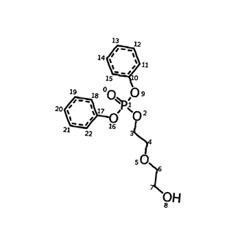 O=P(OCCOCCO)(Oc1ccccc1)Oc1ccccc1